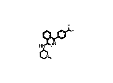 CN1CCCC(Nc2nnc(-c3ccc(C(F)F)cc3)c3ccccc23)C1